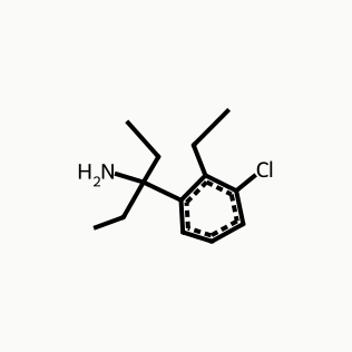 CCc1c(Cl)cccc1C(N)(CC)CC